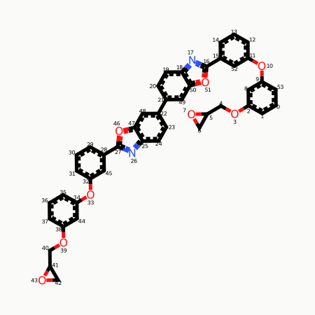 c1cc(OCC2CO2)cc(Oc2cccc(-c3nc4ccc(-c5ccc6nc(-c7cccc(Oc8cccc(OCC9CO9)c8)c7)oc6c5)cc4o3)c2)c1